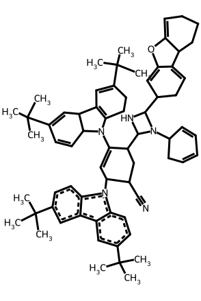 CC(C)(C)C1=CC2C3=C(CCC(C(C)(C)C)=C3)N(C3=CC(n4c5ccc(C(C)(C)C)cc5c5cc(C(C)(C)C)ccc54)C(C#N)CC3C3NC(C4C=C5OC6=CCCCC6C5=CC4)N3C3C=CC=CC3)C2C=C1